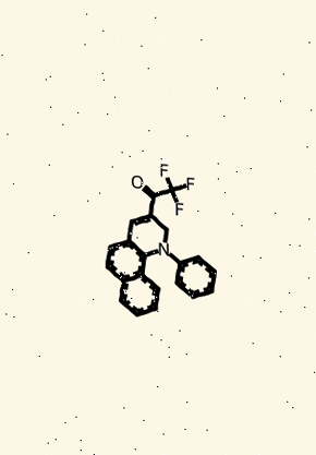 O=C(C1=Cc2ccc3ccccc3c2N(c2ccccc2)C1)C(F)(F)F